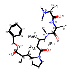 CC[C@H](C)[C@@H]([C@@H](CC(=O)N1CCC[C@H]1[C@H](OC)[C@@H](C)C(=O)OCc1ccccc1)OC)N(C)C(=O)[C@@H](NC(=O)[C@H](C(C)C)N(C)C)C(C)C